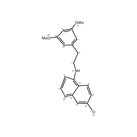 COc1cc(CCNc2ccnc3cc(Cl)ccc23)cc(OC)c1